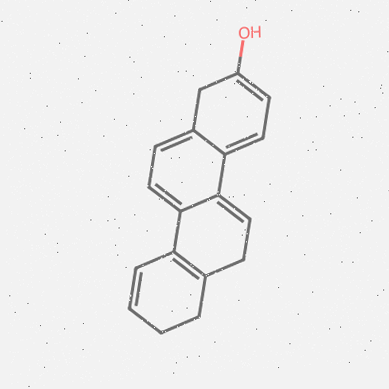 OC1=CC=c2c(ccc3c2=CCC2=C3C=CCC2)C1